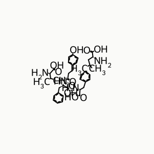 CC(C)C[C@@H](N)C(=O)O.CC(C)[C@@H](N)C(=O)O.N[C@H](Cc1ccccc1)C(=O)O.O=C(CCc1ccc(O)cc1)N[C@H](Cc1ccccc1)C(=O)O